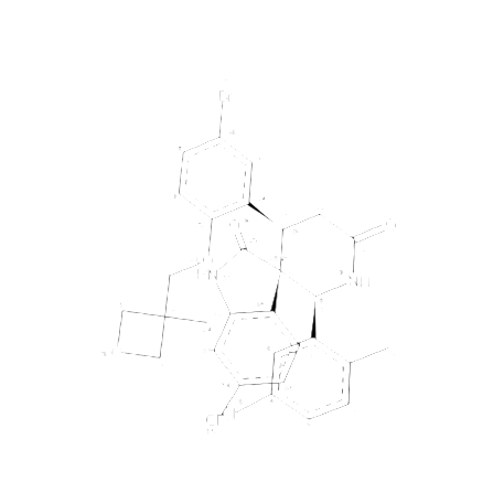 Cc1ccc(Cl)cc1[C@@H]1NC(=O)C[C@H](c2cc(Br)ccc2OCC2(C)COC2)[C@@]12C(=O)Nc1cc(Cl)ccc12